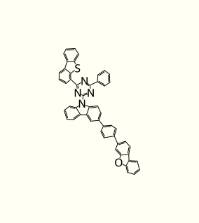 c1ccc(-c2nc(-c3cccc4c3sc3ccccc34)nc(-n3c4ccccc4c4cc(-c5ccc(-c6ccc7c(c6)oc6ccccc67)cc5)ccc43)n2)cc1